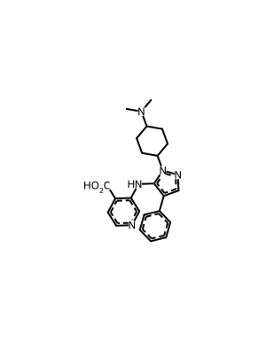 CN(C)C1CCC(n2ncc(-c3ccccc3)c2Nc2cnccc2C(=O)O)CC1